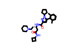 Cc1cccc(C)c1-c1cc(C(=O)N[C@@H](CCN2CCCCC2)CC(=O)NC2CCC2)nn1C1CCCC1